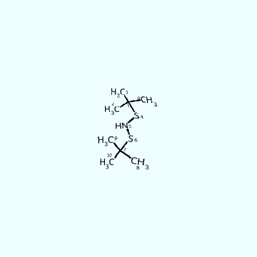 CC(C)(C)SNSC(C)(C)C